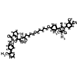 Cc1ncsc1-c1ccc(CNC(=O)[C@@H]2CCCN2C(=O)C(NC(=O)CCCCOCCCCCOc2ccc(N3C(=S)N(c4ccc(C#N)c(C(F)(F)F)c4)C(=O)C3(C)C)cc2)C(C)(C)C)cc1